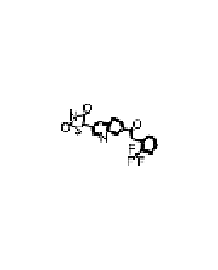 CN1C(=O)SC(c2cnc3cc(C(=O)Cc4ccccc4C(F)(F)F)ccc3c2)C1=O